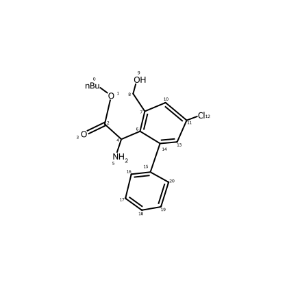 CCCCOC(=O)C(N)c1c(CO)cc(Cl)cc1-c1ccccc1